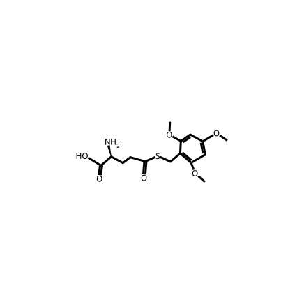 COc1cc(OC)c(CSC(=O)CC[C@H](N)C(=O)O)c(OC)c1